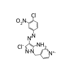 C[n+]1ccc(Cn2ncc(N=Nc3ccc(Cl)c([N+](=O)[O-])c3)c2N)cc1.[Cl-]